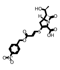 C[C@H](O)[C@@H]1C(=O)N2C(C(=O)O)=C(SC=CC(=O)OCc3ccc([N+](=O)[O-])cc3)C[C@H]12